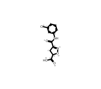 O=C(Nc1cccc(Cl)c1)C1=NOC(C(=O)O)C1